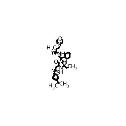 C=C(CN1CCOCC1)C(=O)NCC(NC(=O)C(Cc1nc2ccc(C(C)C)cc2s1)NC(=O)CC)C1CCCCC1